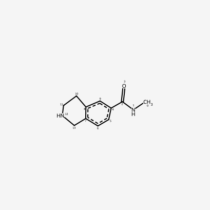 CNC(=O)c1ccc2c(c1)CCNC2